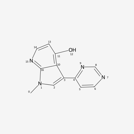 Cn1cc(-c2ccncn2)c2c(O)ccnc21